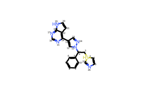 C1=C[SH](CC(c2ccccc2)n2cc(-c3ncnc4[nH]ccc34)cn2)C=N1